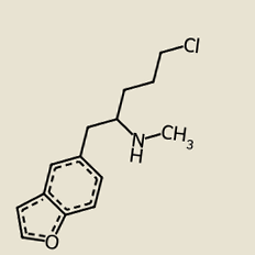 CNC(CCCCl)Cc1ccc2occc2c1